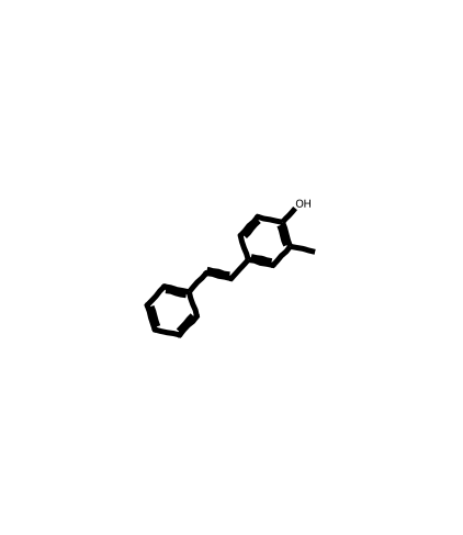 Cc1cc(/C=C/c2ccccc2)ccc1O